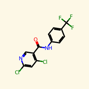 O=C(Nc1ccc(C(F)(F)F)cc1)c1cnc(Cl)cc1Cl